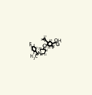 C[C@H](c1ccc(F)cc1)N1CCCC(Oc2cc(F)c(C(=O)O)cc2C2CC2)C1